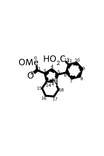 COC(=O)c1cc(-c2ccccc2C(=O)O)n2c1CCCC2